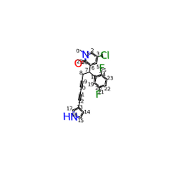 Cn1cc(Cl)cc(C(CC#CC#Cc2cc[nH]c2)c2cc(F)ccc2F)c1=O